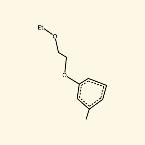 [CH2]COCCOc1cccc(C)c1